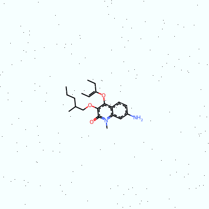 CC=C(CC)Oc1c(OCC(C)CCC)c(=O)n(C)c2cc(N)ccc12